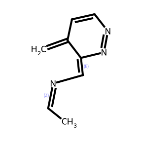 C=c1ccnn/c1=C/N=C\C